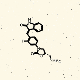 CC(=O)NC[C@H]1CN(c2ccc(/C=C3/C(=O)Nc4ccccc43)c(F)c2)C(=O)O1